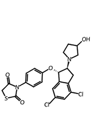 O=C1CSC(=O)N1c1ccc(O[C@H]2c3cc(Cl)cc(Cl)c3C[C@@H]2N2CCC(O)C2)cc1